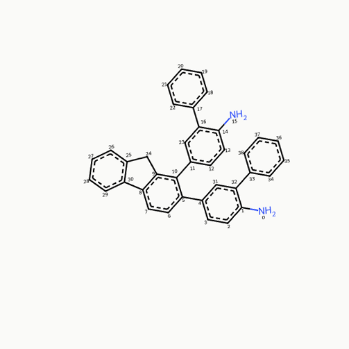 Nc1ccc(-c2ccc3c(c2-c2ccc(N)c(-c4ccccc4)c2)Cc2ccccc2-3)cc1-c1ccccc1